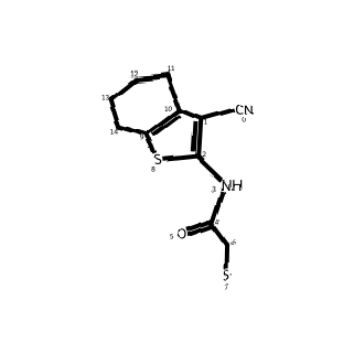 N#Cc1c(NC(=O)C[S])sc2c1CCCC2